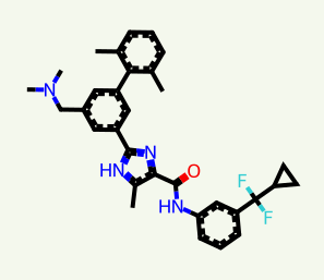 Cc1cccc(C)c1-c1cc(CN(C)C)cc(-c2nc(C(=O)Nc3cccc(C(F)(F)C4CC4)c3)c(C)[nH]2)c1